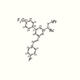 CC(=O)C(CC(C)C)c1cc(/C=C/c2ccc(F)cc2)cc(-c2ccc(C(F)(F)F)cc2)c1